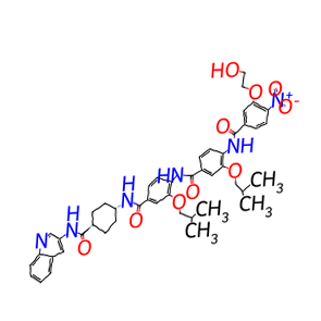 CC(C)COc1cc(C(=O)Nc2ccc(C(=O)N[C@H]3CC[C@H](C(=O)Nc4cnc5ccccc5c4)CC3)cc2OCC(C)C)ccc1NC(=O)c1ccc([N+](=O)[O-])c(OCCO)c1